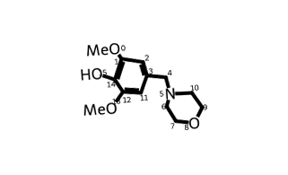 COc1cc(CN2CCOCC2)cc(OC)c1O